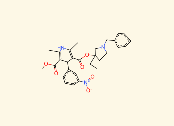 CCC1(OC(=O)C2=C(C)NC(C)=C(C(=O)OC)C2c2cccc([N+](=O)[O-])c2)CCN(Cc2ccccc2)C1